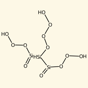 O=[Si](OOO)[SiH](OOOO)[Si](=O)OOO